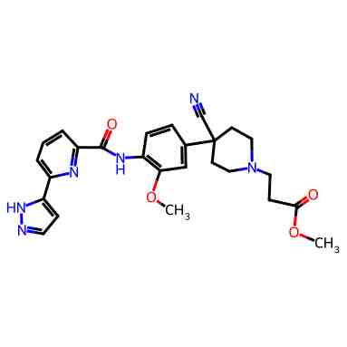 COC(=O)CCN1CCC(C#N)(c2ccc(NC(=O)c3cccc(-c4ccn[nH]4)n3)c(OC)c2)CC1